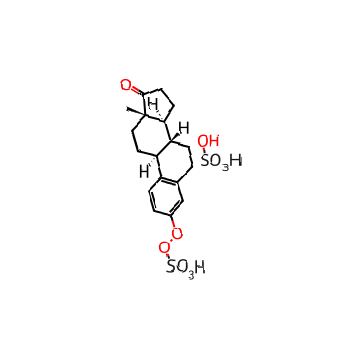 C[C@]12CC[C@@H]3c4ccc(OOS(=O)(=O)O)cc4CC[C@H]3[C@@H]1CCC2=O.O=S(=O)(O)O